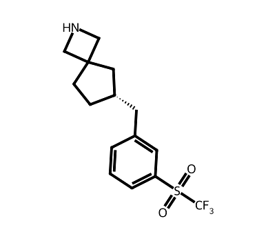 O=S(=O)(c1cccc(C[C@@H]2CCC3(CNC3)C2)c1)C(F)(F)F